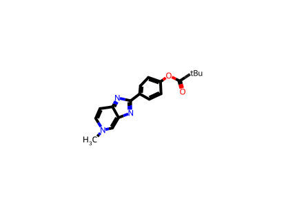 Cn1ccc2nc(-c3ccc(OC(=O)C(C)(C)C)cc3)nc-2c1